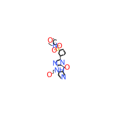 COCCNc1ncc(-c2cccc(S(=O)(=O)N3CCOCC3)c2)nc1C(=O)c1cccnc1